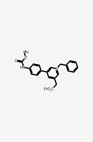 CCOC(=O)Cc1cc(-c2ccc(NC(=O)OC(C)(C)C)cc2)c[n+](Cc2ccccc2)c1